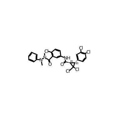 CN(C(=O)c1cc(NC(=O)[C@H]2[C@H](c3ccc(Cl)c(Cl)c3)C2(Cl)Cl)ccc1Cl)N(C)c1ccccc1